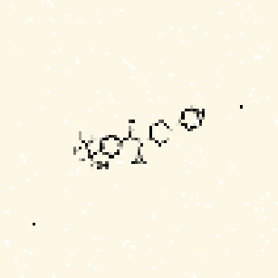 C[C@](O)(c1ccc(C(=O)N(C2CC2)[C@H]2CC[C@@H](c3ccncc3)CC2)cc1)C(F)(F)F